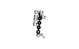 CCc1cc(-c2cc(CC)c(OCC(CC)CC)c(CC)c2CC)ccc1-c1ccc(C2CCC(C)CC2)cc1